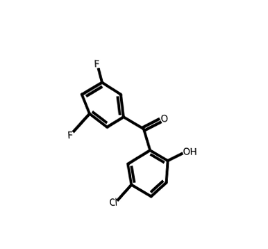 O=C(c1cc(F)cc(F)c1)c1cc(Cl)ccc1O